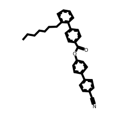 CCCCCCCc1ccccc1-c1ccc(C(=O)Oc2ccc(-c3ccc(C#N)cc3)cc2)cc1